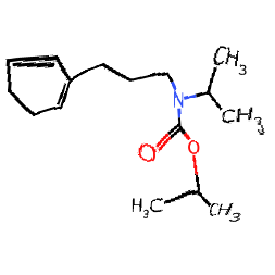 CC(C)OC(=O)N(CCCC1=CCCC=C1)C(C)C